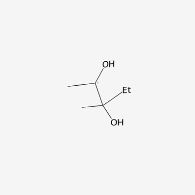 CCC(C)(O)[C](C)O